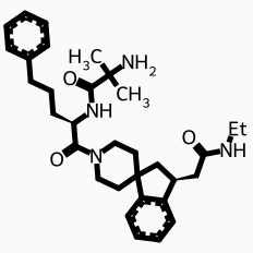 CCNC(=O)C[C@@H]1CC2(CCN(C(=O)[C@@H](CCCc3ccccc3)NC(=O)C(C)(C)N)CC2)c2ccccc21